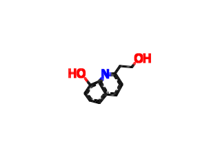 OCCc1ccc2cccc(O)c2n1